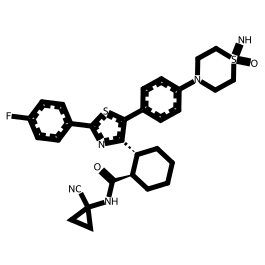 N#CC1(NC(=O)[C@@H]2CCCC[C@H]2c2nc(-c3ccc(F)cc3)sc2-c2ccc(N3CCS(=N)(=O)CC3)cc2)CC1